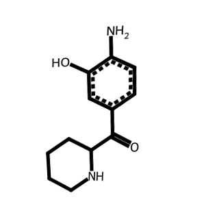 Nc1ccc(C(=O)C2CCCCN2)cc1O